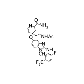 CC(=O)NCCC1(Oc2ccc3c(c2)nc(Nc2cc(C(F)(F)F)ccc2F)n3C)C=CN=C(C(N)=O)C1